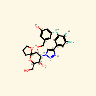 OC[C@H]1O[C@@]2(CCCO2)[C@H](OCc2cccc(O)c2)[C@@H](n2cc(-c3cc(F)c(F)c(F)c3)nn2)[C@H]1O